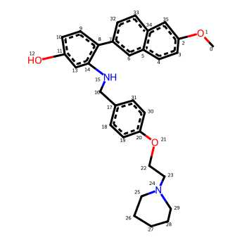 COc1ccc2cc(-c3ccc(O)cc3NCc3ccc(OCCN4CCCCC4)cc3)ccc2c1